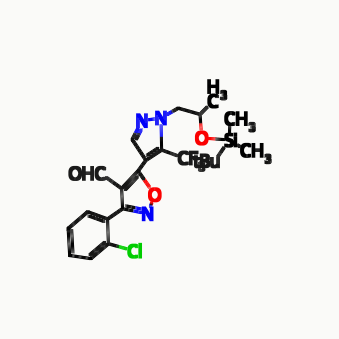 CC(Cn1ncc(-c2onc(-c3ccccc3Cl)c2C=O)c1C(F)(F)F)O[Si](C)(C)C(C)(C)C